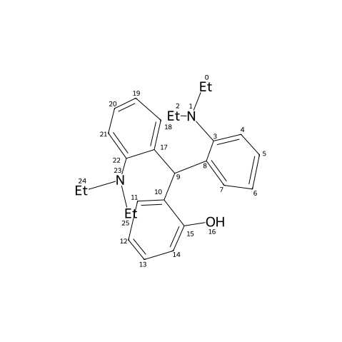 CCN(CC)c1ccccc1C(c1ccccc1O)c1ccccc1N(CC)CC